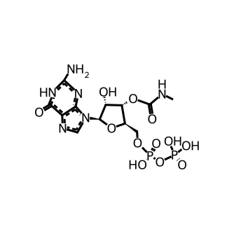 CNC(=O)O[C@H]1[C@@H](O)[C@H](n2cnc3c(=O)[nH]c(N)nc32)O[C@@H]1COP(=O)(O)OP(=O)(O)O